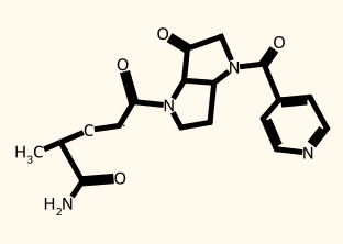 CC(C[CH]C(=O)N1CCC2C1C(=O)CN2C(=O)c1ccncc1)C(N)=O